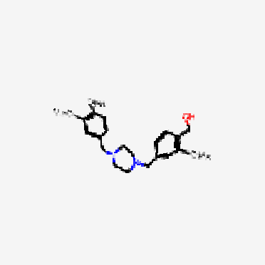 COc1cc(CN2CCN(Cc3ccc(OC)c(OC)c3)CC2)ccc1CO